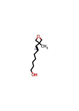 CC1(/C=C/CCCCCO)COC1